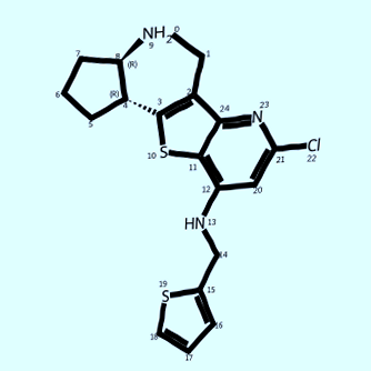 CCc1c([C@@H]2CCC[C@H]2N)sc2c(NCc3cccs3)cc(Cl)nc12